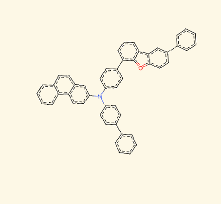 c1ccc(-c2ccc(N(c3ccc(-c4cccc5c4oc4ccc(-c6ccccc6)cc45)cc3)c3ccc4c(ccc5ccccc54)c3)cc2)cc1